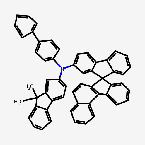 CC1(C)c2ccccc2-c2ccc(N(c3ccc(-c4ccccc4)cc3)c3ccc4c(c3)C3(c5ccccc5-4)c4ccccc4-c4c3ccc3ccccc43)cc21